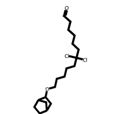 O=[C]CCCCCC(Cl)(Cl)CCCCCOC1CC2[CH]CC1C2